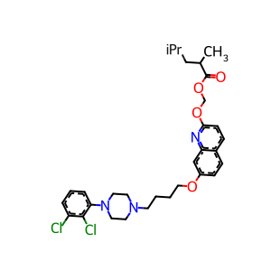 CC(C)CC(C)C(=O)OCOc1ccc2ccc(OCCCCN3CCN(c4cccc(Cl)c4Cl)CC3)cc2n1